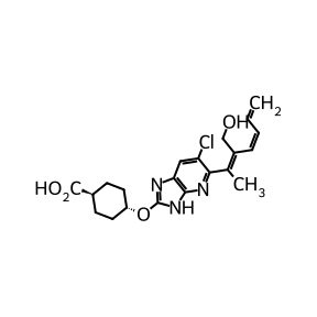 C=C/C=C\C(CO)=C(/C)c1nc2[nH]c(O[C@H]3CC[C@H](C(=O)O)CC3)nc2cc1Cl